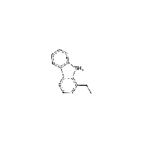 CCc1cccc2c1[SiH2]c1ccccc1-2